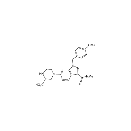 CNC(=O)c1nn(Cc2ccc(OC)cc2)c2cc(N3CCNC(C(=O)O)C3)ccc12